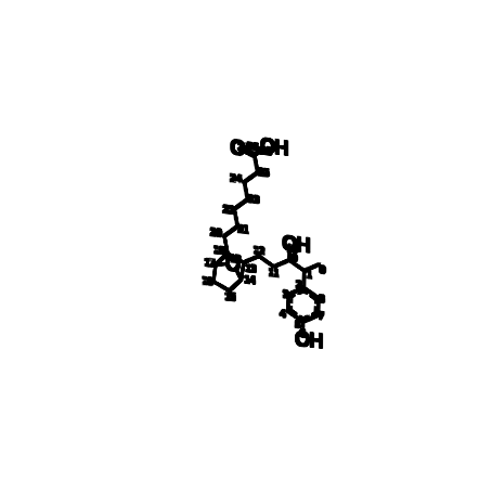 CC(c1ccc(O)cc1)C(O)CCC1C2CCC(O2)C1CCCCCCC(=O)O